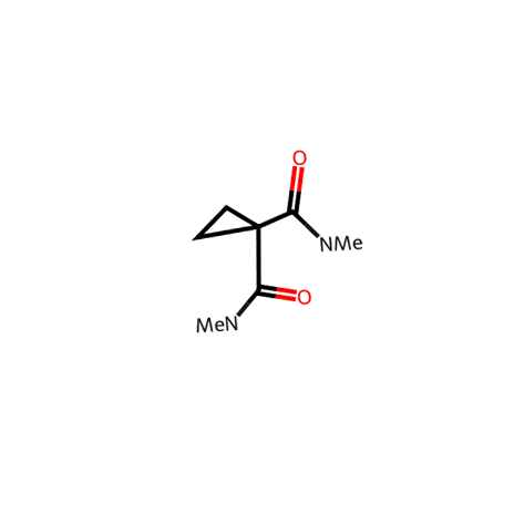 CNC(=O)C1(C(=O)NC)CC1